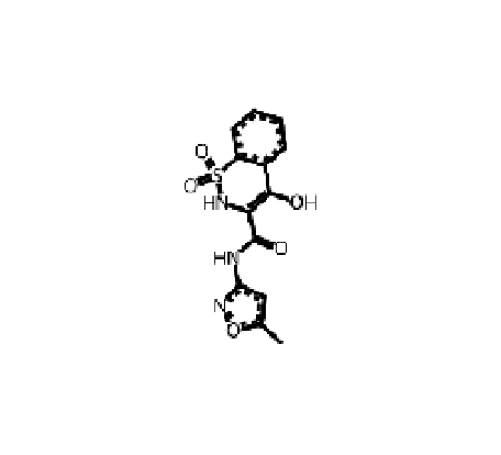 Cc1cc(NC(=O)C2=C(O)c3ccccc3S(=O)(=O)N2)no1